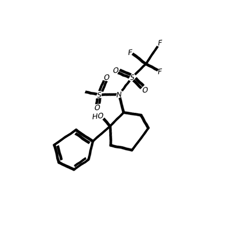 CS(=O)(=O)N(C1CCCCC1(O)c1ccccc1)S(=O)(=O)C(F)(F)F